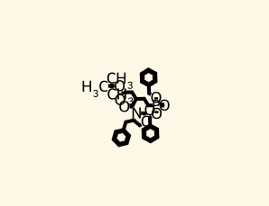 CC(C)(C)OC(=O)CC(CCP(=O)(OCc1ccccc1)OCc1ccccc1)C(=O)N1C(=O)OCC1Cc1ccccc1